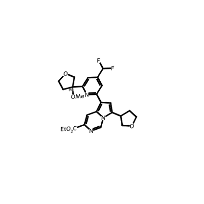 CCOC(=O)c1cc2c(-c3cc(C(F)F)cc([C@]4(OC)CCOC4)n3)cc(C3CCOC3)n2cn1